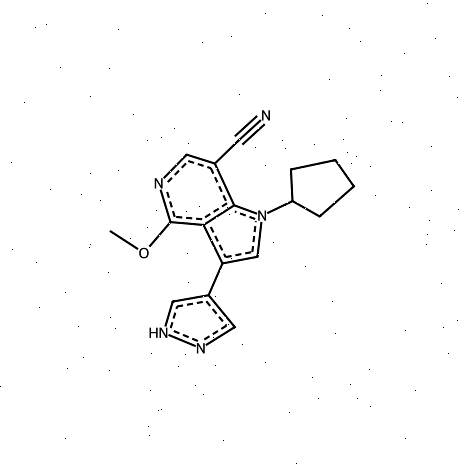 COc1ncc(C#N)c2c1c(-c1cn[nH]c1)cn2C1CCCC1